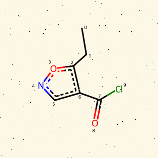 CCc1oncc1C(=O)Cl